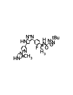 C[C@@H](NC(=O)c1nc(C(C)(C)C)no1)c1ccc(-c2ncnc3[nH]c(-c4ccc(N5CCNC[C@@H]5C)nc4)cc23)cc1F